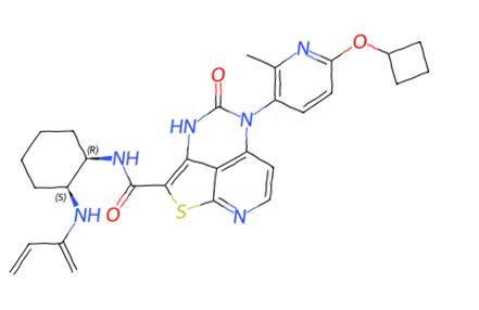 C=CC(=C)N[C@H]1CCCC[C@H]1NC(=O)c1sc2nccc3c2c1NC(=O)N3c1ccc(OC2CCC2)nc1C